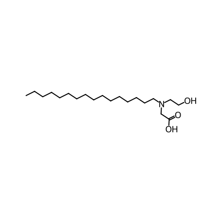 CCCCCCCCCCCCCCCCN(CCO)CC(=O)O